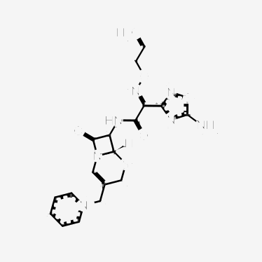 C=CCON=C(C(=O)NC1C(=O)N2C=C(C[n+]3ccccc3)CS[C@@H]12)c1nsc(N)n1